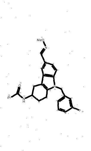 CON=Cc1ccc2c(c1)c1c(n2Cc2cccc(F)c2)CCC(NC(=O)C(C)C)C1